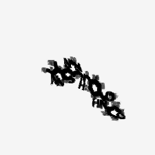 Cc1nnc2sc3c(NCc4ccc(C(=O)NC5CCOCC5)cc4)ncnc3c2c1C